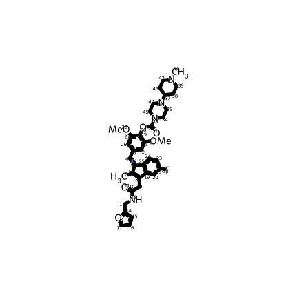 COc1cc(/C=C2/C(C)=C(CC(=O)NCc3ccco3)c3cc(F)ccc32)cc(OC)c1OC(=O)N1CCN(C2CCN(C)CC2)CC1